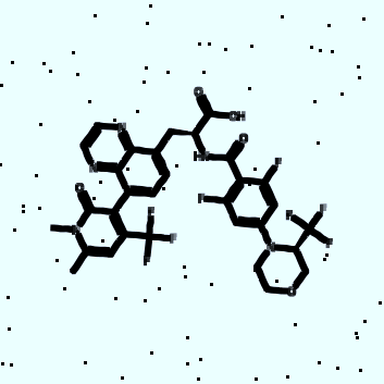 Cc1cc(C(F)(F)F)c(-c2ccc(C[C@H](NC(=O)c3c(F)cc(N4CCOC[C@@H]4C(F)(F)F)cc3F)C(=O)O)c3nccnc23)c(=O)n1C